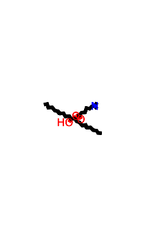 CCCCCC=CCCCC(O)C(CCCC=CCCCCC)OC(=O)CCCCCN(C)C